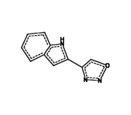 c1ccc2[nH]c(-c3conn3)cc2c1